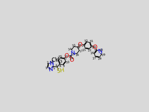 Cn1ccnc1C(S)c1ccc(OC(=O)N2CCC(Oc3ccc(Oc4ccccn4)cc3)CC2)cc1